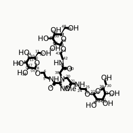 CNC(C(=O)NCCO[C@H]1O[C@H](CO)[C@@H](O)[C@H](O)[C@@H]1O)N(CC(=O)NCCO[C@H]1O[C@H](CO)[C@@H](O)[C@H](O)[C@@H]1O)CC(=O)NCCO[C@H]1O[C@H](CO)[C@@H](O)[C@H](O)[C@@H]1O